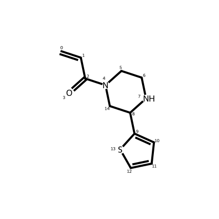 C=CC(=O)N1CCNC(c2cccs2)C1